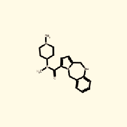 CN1CCC(N(C)C(=O)c2ccc3n2Cc2ccccc2NC3)CC1